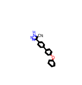 N#Cc1[nH]nnc1-c1ccc(-c2ccc(Oc3ccccc3)cc2)cc1